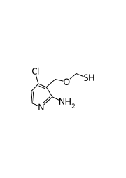 Nc1nccc(Cl)c1COCS